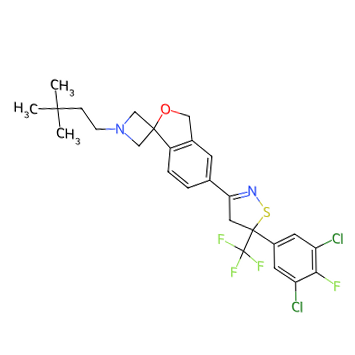 CC(C)(C)CCN1CC2(C1)OCc1cc(C3=NSC(c4cc(Cl)c(F)c(Cl)c4)(C(F)(F)F)C3)ccc12